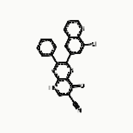 N#Cc1c[nH]c2nc(-c3ccccc3)c(-c3cc(Cl)c4ncccc4c3)nc2c1=O